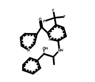 CC(Nc1ccc(C(F)(F)F)c(C(=O)c2cccnc2)n1)[C@@H](O)c1ccccc1